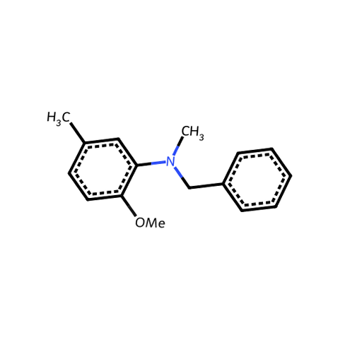 COc1ccc(C)cc1N(C)Cc1ccccc1